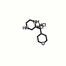 C1CNC(CC2CCOCC2)CN1.Cl.Cl